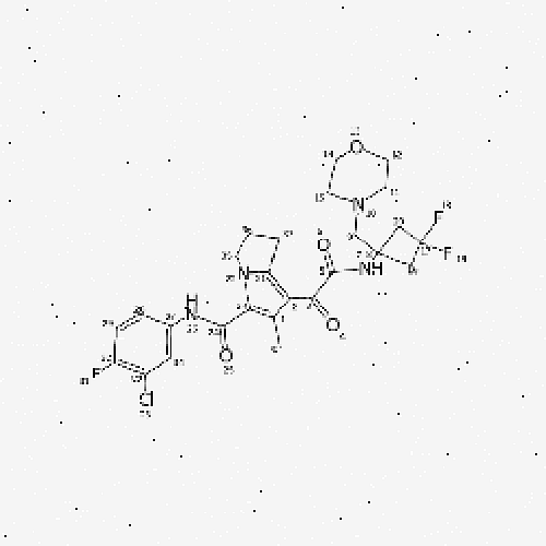 Cc1c(C(=O)C(=O)NC2(CN3CCOCC3)CC(F)(F)C2)c2n(c1C(=O)Nc1ccc(F)c(Cl)c1)CCC2